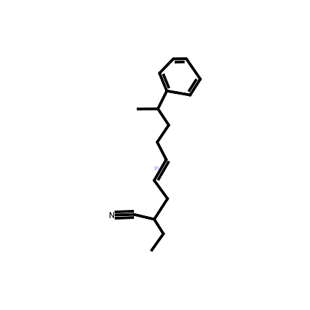 CCC(C#N)C/C=C/CCC(C)c1ccccc1